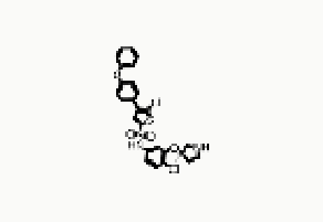 C[C@@]1(Oc2cc(NS(=O)(=O)c3cc(-c4ccc(Oc5ccccc5)cc4)c(Cl)s3)ccc2Cl)CCNC1